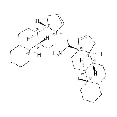 NC(C[C@@]12C=CC[C@H]1[C@@H]1CCC3CCCC[C@@H]3[C@H]1CC2)[C@@]12C=CC[C@H]1[C@@H]1CCC3CCCC[C@@H]3[C@H]1CC2